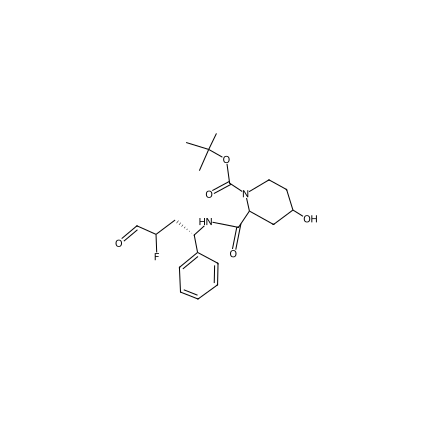 CC(C)(C)OC(=O)N1CCC(O)CC1C(=O)N[C@@H](CC(F)C=O)c1ccccc1